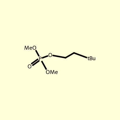 COP(=O)(OC)OCCC(C)(C)C